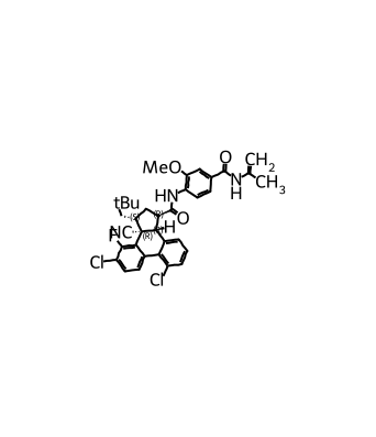 C=C(C)NC(=O)c1ccc(NC(=O)[C@@H]2C[C@@H](CC(C)(C)C)[C@]3(C#N)c4c(ccc(Cl)c4F)-c4c(Cl)cccc4[C@@H]23)c(OC)c1